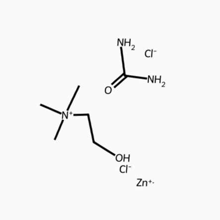 C[N+](C)(C)CCO.NC(N)=O.[Cl-].[Cl-].[Zn+]